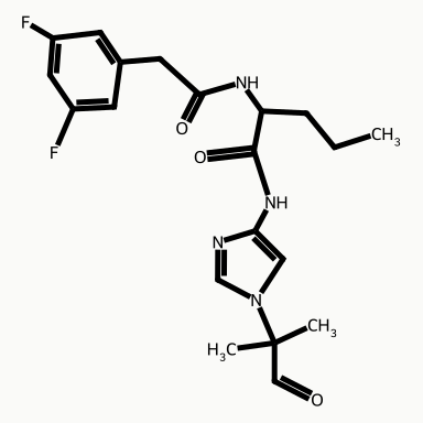 CCCC(NC(=O)Cc1cc(F)cc(F)c1)C(=O)Nc1cn(C(C)(C)C=O)cn1